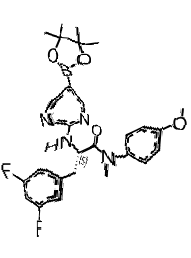 COc1ccc(N(C)C(=O)[C@H](Cc2cc(F)cc(F)c2)Nc2ncc(B3OC(C)(C)C(C)(C)O3)cn2)cc1